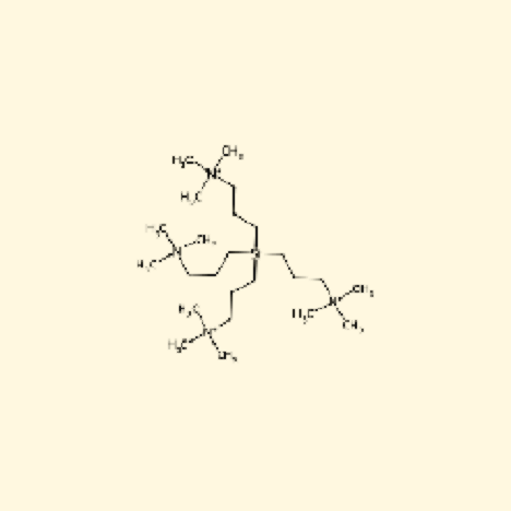 C[N+](C)(C)CCC[Si](CCC[N+](C)(C)C)(CCC[N+](C)(C)C)CCC[N+](C)(C)C